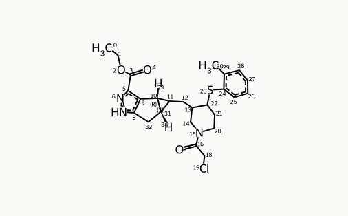 CCOC(=O)c1n[nH]c2c1[C@@H]1C(CC3CN(C(=O)CCl)CCC3Sc3ccccc3C)[C@@H]1C2